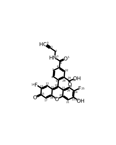 C#CCNC(=O)c1ccc(-c2c3cc(F)c(=O)cc-3oc3cc(O)c(F)cc23)c(C(=O)O)c1